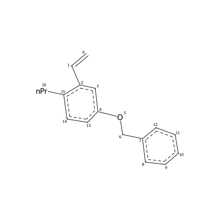 C=Cc1cc(OCc2ccccc2)ccc1CCC